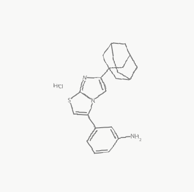 Cl.Nc1cccc(-c2csc3nc(C45CC6CC(CC(C6)C4)C5)cn23)c1